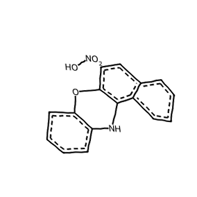 O=[N+]([O-])O.c1ccc2c(c1)Nc1c(ccc3ccccc13)O2